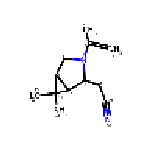 C=C(C)N1CC2C(C1CC#N)C2(C)C